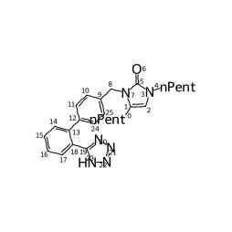 CCCCCc1cn(CCCCC)c(=O)n1Cc1ccc(-c2ccccc2-c2nnn[nH]2)cc1